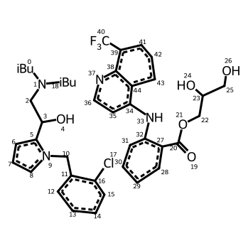 CCC(C)N(CC(O)c1cccn1Cc1ccccc1Cl)C(C)CC.O=C(OCC(O)CO)c1ccccc1Nc1ccnc2c(C(F)(F)F)cccc12